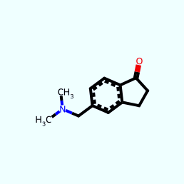 CN(C)Cc1ccc2c(c1)CCC2=O